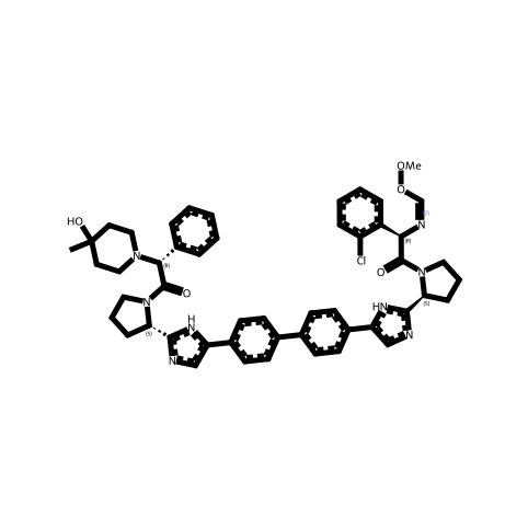 COO/C=N\[C@@H](C(=O)N1CCC[C@H]1c1ncc(-c2ccc(-c3ccc(-c4cnc([C@@H]5CCCN5C(=O)[C@@H](c5ccccc5)N5CCC(C)(O)CC5)[nH]4)cc3)cc2)[nH]1)c1ccccc1Cl